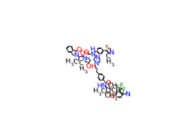 Cc1ncsc1-c1ccc(CNC(=O)[C@@H]2C[C@@H](O)CN2C(=O)C(C(C)C)N2Cc3ccccc3C2=O)c(N2CCN(CCCc3ccc(C(=O)NC4C(C)(C)C(Oc5ccc(C#N)c(C(F)(F)F)c5)C4(C)C)cc3)CC2)c1